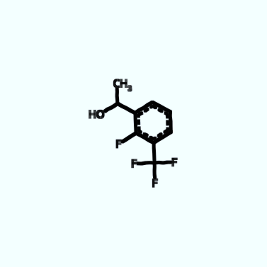 CC(O)c1cccc(C(F)(F)F)c1F